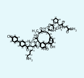 C[C@@H]1NC(=O)[C@@H](N(C)C(=O)[C@H](CCCCN)NC(=O)c2ccc(-c3ccc(Cl)cc3)cc2)c2ccc(O)c(c2)-c2cc(ccc2O)C[C@@H](C(=O)N[C@@H](C)C(=O)N2CCC[C@H]2CC(=O)NCC(N)=O)NC1=O